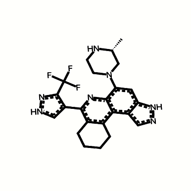 C[C@@H]1CN(c2cc3[nH]ncc3c3c4c(c(-c5c[nH]nc5C(F)(F)F)nc23)CCCC4)CCN1